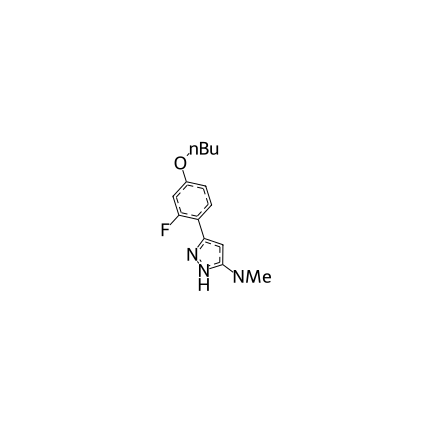 CCCCOc1ccc(-c2cc(NC)[nH]n2)c(F)c1